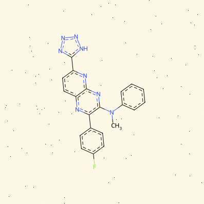 CN(c1ccccc1)c1nc2nc(-c3nnn[nH]3)ccc2nc1-c1ccc(F)cc1